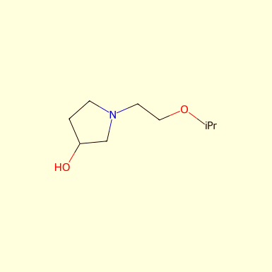 CC(C)OCCN1CCC(O)C1